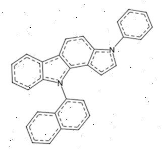 c1ccc(-n2ccc3c2ccc2c4ccccc4n(-c4cccc5ccccc45)c23)cc1